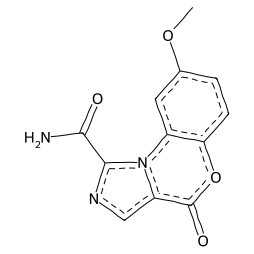 COc1ccc2oc(=O)c3cnc(C(N)=O)n3c2c1